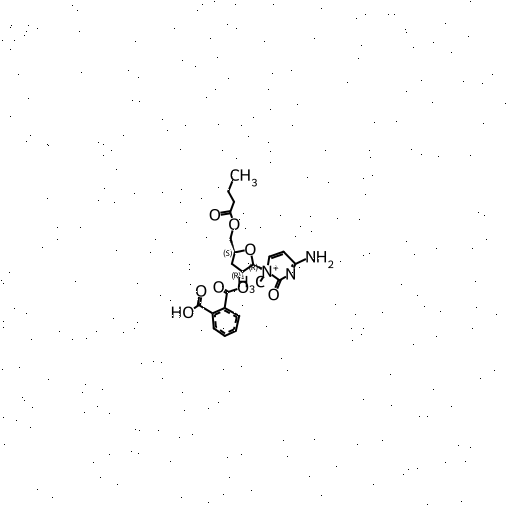 CCCC(=O)OC[C@@H]1C[C@@H](OC(=O)c2ccccc2C(=O)O)[C@H]([N+]2(C)C=CC(N)=NC2=O)O1